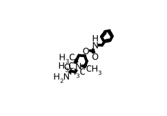 CC1(C)CC(OC(=O)NCc2ccccc2)CC(C)(C)N1CC(N)=O